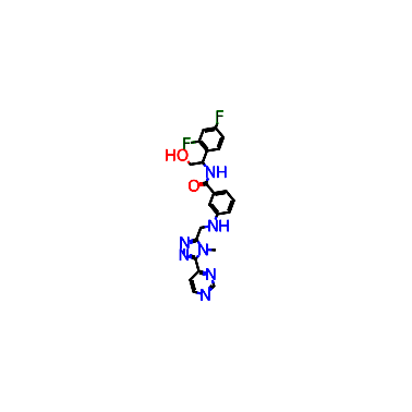 Cn1c(CNc2cccc(C(=O)NC(CO)c3ccc(F)cc3F)c2)nnc1-c1ccncn1